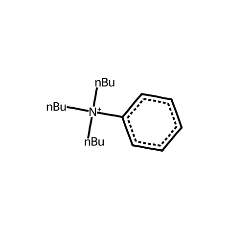 CCCC[N+](CCCC)(CCCC)c1ccccc1